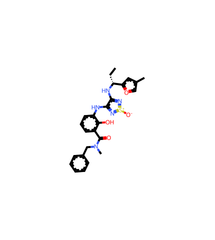 CC[C@@H](Nc1n[s+]([O-])nc1Nc1cccc(C(=O)N(C)Cc2ccccc2)c1O)c1cc(C)co1